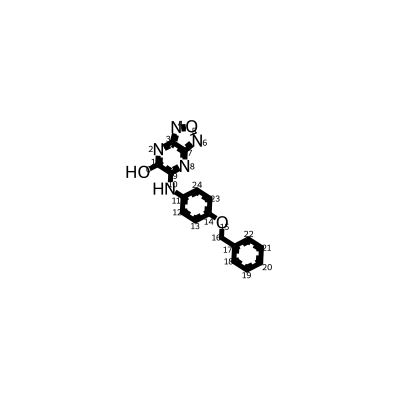 Oc1nc2nonc2nc1Nc1ccc(OCc2ccccc2)cc1